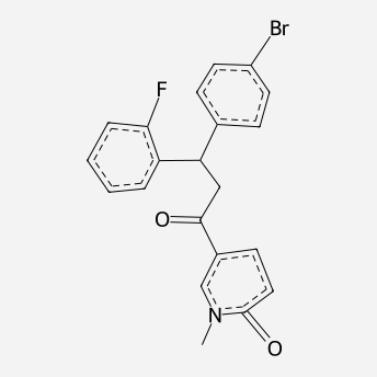 Cn1cc(C(=O)CC(c2ccc(Br)cc2)c2ccccc2F)ccc1=O